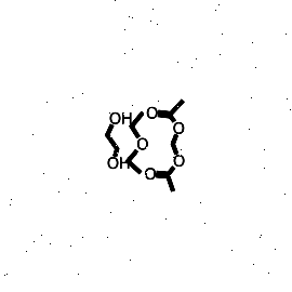 CC(=O)OCOC(C)=O.CCOCC.OCCO